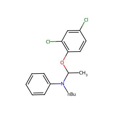 CCCCN(c1ccccc1)C(C)Oc1ccc(Cl)cc1Cl